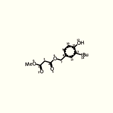 COC(=O)CC(=O)OCc1ccc(O)c(C(C)(C)C)c1